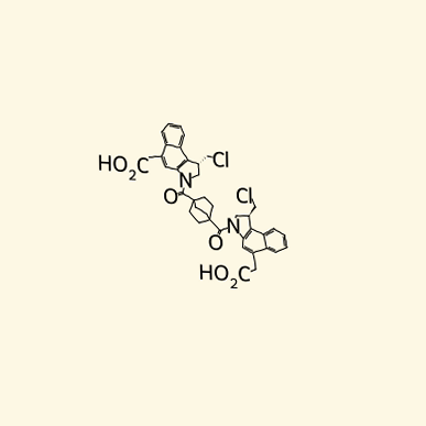 O=C(O)Cc1cc2c(c3ccccc13)[C@H](CCl)CN2C(=O)C12CCC(C(=O)N3C[C@@H](CCl)c4c3cc(CC(=O)O)c3ccccc43)(CC1)CC2